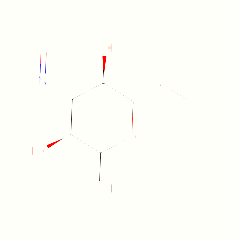 CO[C@@H]1OC(C)[C@@H](O)[C@H](N=O)[C@H]1O